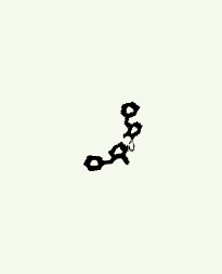 Cc1c(Cc2ccccc2)cccc1Oc1cccc(Cc2ccccc2)c1C